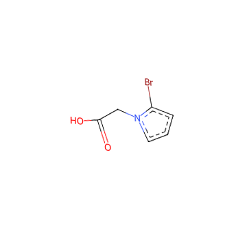 O=C(O)Cn1cccc1Br